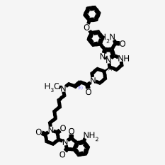 CN(C/C=C/C(=O)N1CCC([C@@H]2CCNc3c(C(N)=O)c(-c4ccc(Oc5ccccc5)cc4)nn32)CC1)CCCCCCN1C(=O)CCC(N2C(=O)c3cccc(N)c3C2=O)C1=O